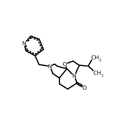 CC(C)C1COC23CCN(Cc4cccnc4)CC2CCC(=O)N13